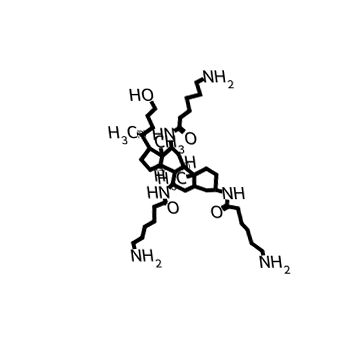 C[C@H](CCCO)C1CC[C@H]2C3C(NC(=O)CCCCCN)CC4CC(NC(=O)CCCCCN)CCC4(C)[C@H]3CC(NC(=O)CCCCCN)C12C